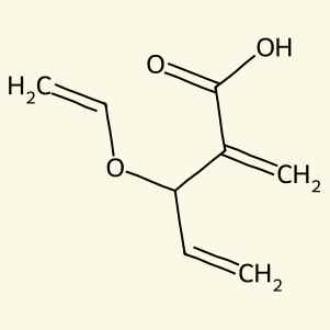 C=COC(C=C)C(=C)C(=O)O